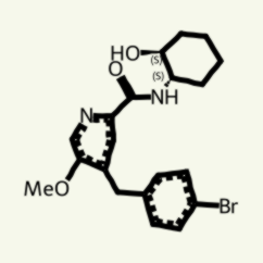 COc1cnc(C(=O)N[C@H]2CCCC[C@@H]2O)cc1Cc1ccc(Br)cc1